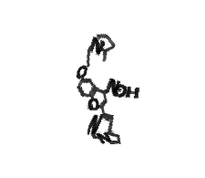 CC1CCCN1CCOc1ccc2oc(-c3cc4cccn4cn3)cc(=NO)c2c1